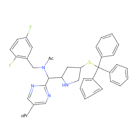 CCCc1cnc(C(C2CC(SC(c3ccccc3)(c3ccccc3)c3ccccc3)CN2)N(Cc2cc(F)ccc2F)C(C)=O)nc1